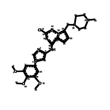 COc1cc(-n2cnc(Nc3nc(Cl)nn4c(CN5CCN(C)CC5)ccc34)c2)cc(OC)c1OC